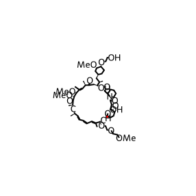 COCCOCCO[C@H]1C[C@@H]2CC[C@@H](C)[C@@](O)(O2)C(=O)C(=O)N2CCCC[C@H]2C(=O)O[C@H]([C@H](C)C[C@@H]2CC[C@@H](OCCO)[C@H](OC)C2)CC(=O)[C@H](C)/C=C(\C)[C@@H](OC)[C@@H](OC)C(=O)[C@H](C)C[C@H](C)/C=C/C=C/C=C/1C